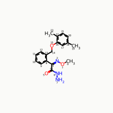 CON=C(C(=O)NN)c1ccccc1COc1cc(C)ccc1C